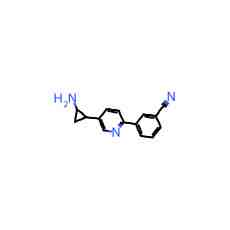 N#Cc1cccc(-c2ccc(C3CC3N)cn2)c1